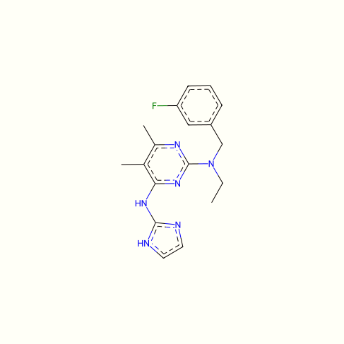 CCN(Cc1cccc(F)c1)c1nc(C)c(C)c(Nc2ncc[nH]2)n1